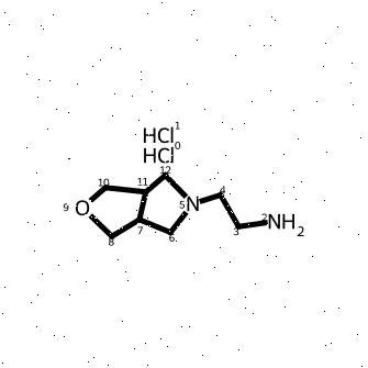 Cl.Cl.NCCN1CC2COCC2C1